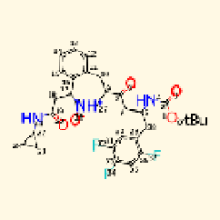 CC(C)(C)OC(=O)NC(CC(=O)C1Cc2ccccc2C(CC(=O)NC2CC2)[NH+]([O-])C1)Cc1cc(F)c(F)cc1F